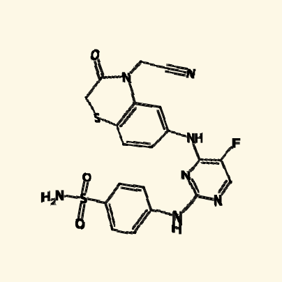 N#CCN1C(=O)CSc2ccc(Nc3nc(Nc4ccc(S(N)(=O)=O)cc4)ncc3F)cc21